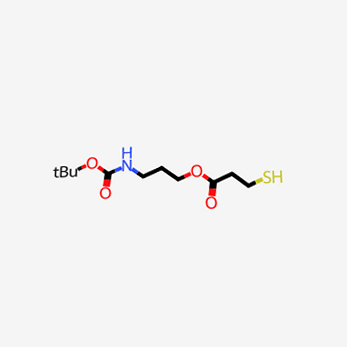 CC(C)(C)OC(=O)NCCCOC(=O)CCS